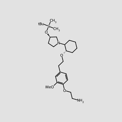 COc1cc(CCO[C@H]2CCCCC2N2CC[C@@H](O[Si](C)(C)C(C)(C)C)C2)ccc1OCCN